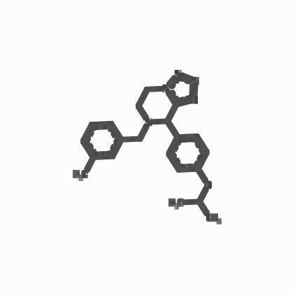 Cc1cccc(CN2CCn3nnnc3C2c2ccc(OC(C)C)cc2)c1